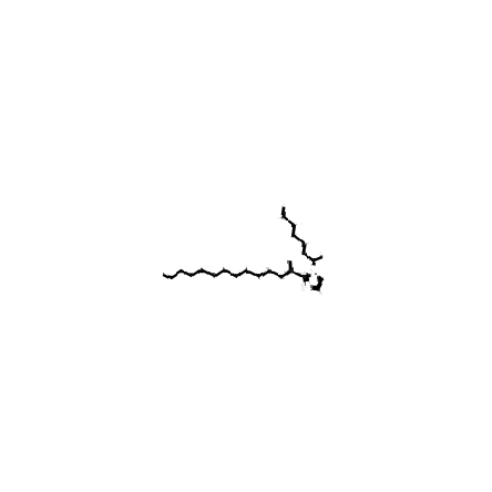 CCCCCCCCCCCCC(C)c1[nH]cc[n+]1C(C)CCCCCC